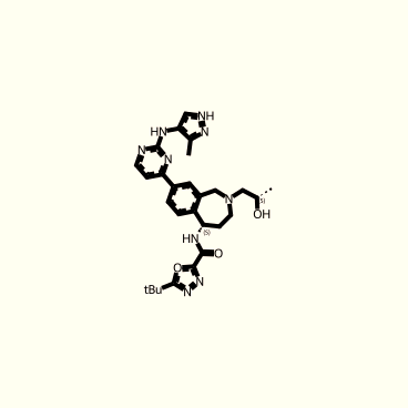 Cc1n[nH]cc1Nc1nccc(-c2ccc3c(c2)CN(C[C@H](C)O)CC[C@@H]3NC(=O)c2nnc(C(C)(C)C)o2)n1